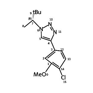 COc1cc(-c2cn([C@H](C)C(C)(C)C)nn2)ccc1Cl